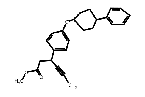 CC#CC(CC(=O)OC)c1ccc(OC2CCC(c3ccccc3)CC2)cc1